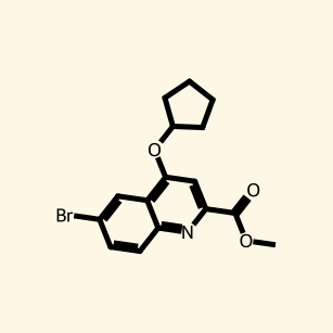 COC(=O)c1cc(OC2CCCC2)c2cc(Br)ccc2n1